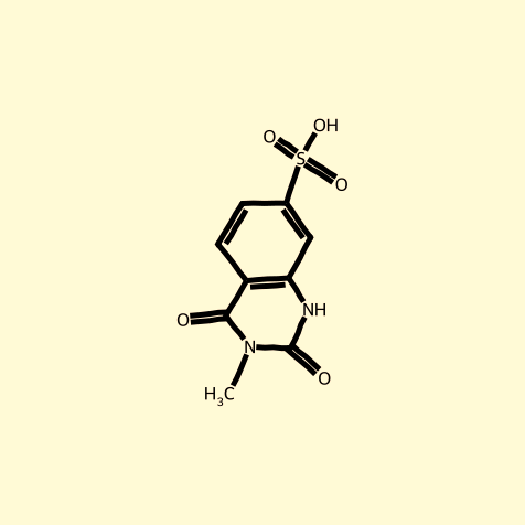 Cn1c(=O)[nH]c2cc(S(=O)(=O)O)ccc2c1=O